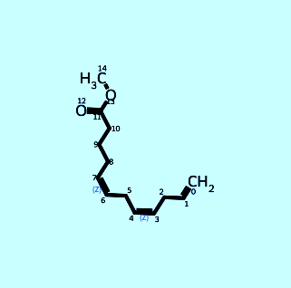 C=CC/C=C\C/C=C\CCCC(=O)OC